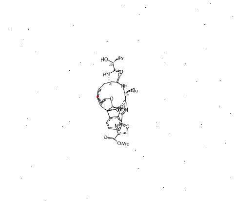 COC(=O)c1coc(-c2nc3oc2C24c5ccccc5NC2Oc2ccc(cc24)C[C@H](NC(=O)[C@@H](O)C(C)C)C(=O)N[C@H]3C(C)(C)C)n1